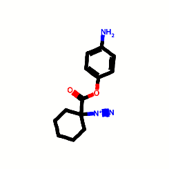 N#[N+]C1(C(=O)Oc2ccc(N)cc2)CCCCC1